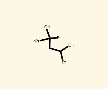 CCCC(O)(CC)CC(O)CC